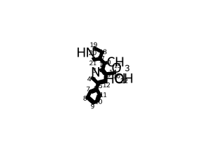 CC(c1ncc(-c2ccccc2)cc1C(=O)O)C1CCNC1.Cl